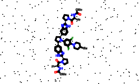 COC(=O)N[C@H](C(=O)N1CCC[C@H]1c1nc2cc([C@H]3CC[C@H](c4ccc5[nH]c([C@@H]6CCCN6C(=O)[C@@H](NC(=O)OC)C(C)C)nc5c4)N3c3cc(F)c(N4CCC(C(C)(C)C)CC4)c(F)c3)ccc2[nH]1)C(C)C